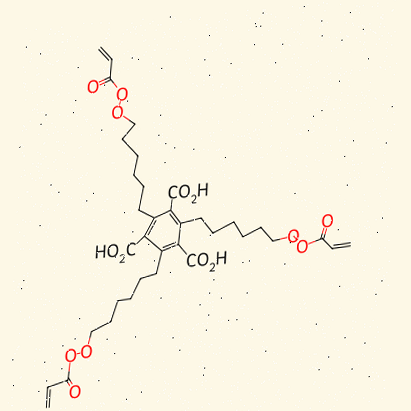 C=CC(=O)OOCCCCCCc1c(C(=O)O)c(CCCCCCOOC(=O)C=C)c(C(=O)O)c(CCCCCCOOC(=O)C=C)c1C(=O)O